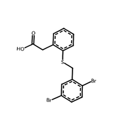 O=C(O)Cc1ccccc1SCc1cc(Br)ccc1Br